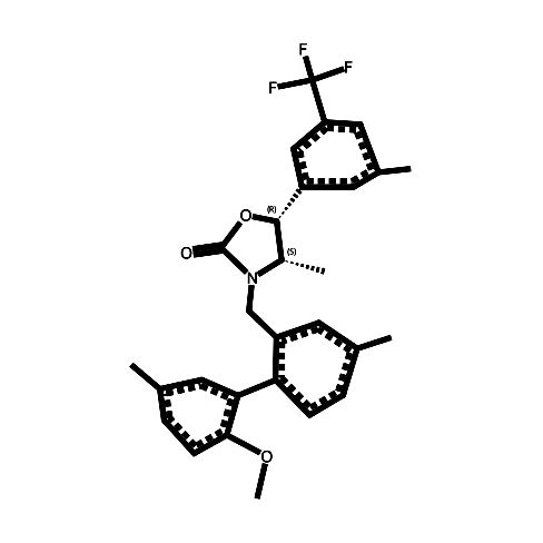 COc1ccc(C)cc1-c1ccc(C)cc1CN1C(=O)O[C@H](c2cc(C)cc(C(F)(F)F)c2)[C@@H]1C